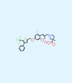 CC1(C(=O)O)CCN(CC2=Cc3c(F)cc(OCc4cc(-c5ccccc5)c(C(F)(F)F)s4)cc3OC2)C1